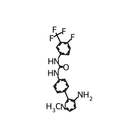 Cn1ccc(N)c1-c1ccc(NC(=O)Nc2ccc(F)c(C(F)(F)F)c2)cc1